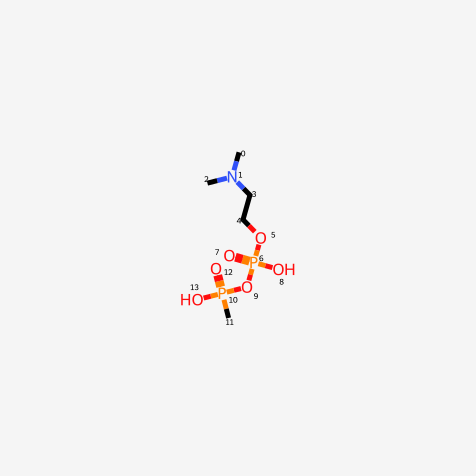 CN(C)CCOP(=O)(O)OP(C)(=O)O